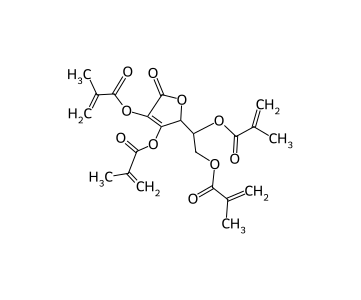 C=C(C)C(=O)OCC(OC(=O)C(=C)C)C1OC(=O)C(OC(=O)C(=C)C)=C1OC(=O)C(=C)C